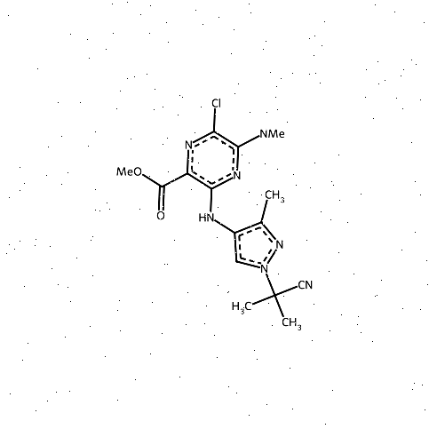 CNc1nc(Nc2cn(C(C)(C)C#N)nc2C)c(C(=O)OC)nc1Cl